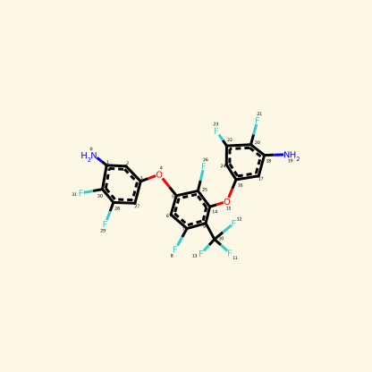 Nc1cc(Oc2cc(F)c(C(F)(F)F)c(Oc3cc(N)c(F)c(F)c3)c2F)cc(F)c1F